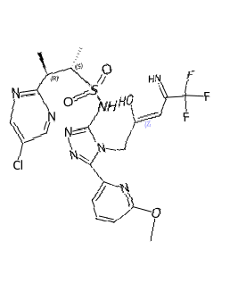 COc1cccc(-c2nnc(NS(=O)(=O)[C@@H](C)[C@H](C)c3ncc(Cl)cn3)n2C/C(O)=C/C(=N)C(F)(F)F)n1